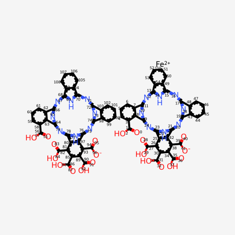 O=C(O)c1cccc2c1-c1nc-2nc2[nH]c(nc3nc(nc4[nH]c(n1)c1c(C(=O)O)c(C(=O)O)c(C(=O)O)c(C(=O)[O-])c41)-c1ccccc1-3)c1ccccc21.O=C(O)c1cccc2c1-c1nc-2nc2[nH]c(nc3nc(nc4[nH]c(n1)c1c(C(=O)O)c(C(=O)O)c(C(=O)O)c(C(=O)[O-])c41)-c1ccccc1-3)c1ccccc21.[Fe+2]